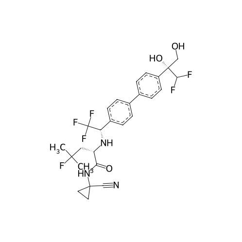 CC(C)(F)C[C@H](N[C@@H](c1ccc(-c2ccc([C@@](O)(CO)C(F)F)cc2)cc1)C(F)(F)F)C(=O)NC1(C#N)CC1